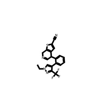 CCn1cc(-c2ccccc2C2C=NCc3sc(C#N)cc32)c(C(F)(F)F)n1